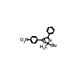 CC(C)(C)C1(C)N=C(c2ccccc2)C2C(c3ccc([N+](=O)[O-])cc3)N21